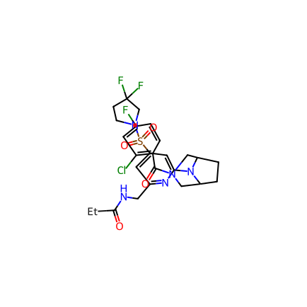 CCC(=O)NCc1cc(S(=O)(=O)N2CCC(F)(F)C2)cc(N2C3CCC2CN(C(=O)c2ccc(F)cc2Cl)C3)n1